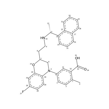 Cc1ccc(N2CC(CCN[C@H](C)c3cccc4ccccc34)Oc3cc(F)ccc32)cc1C(=O)O